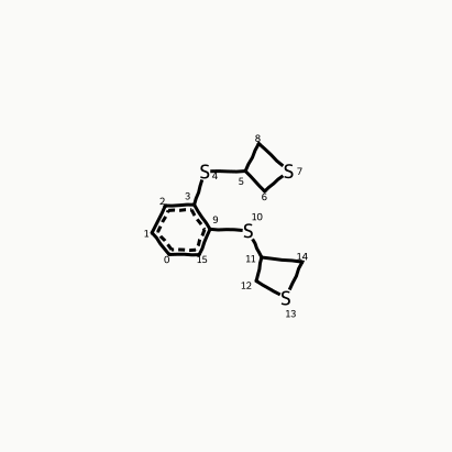 c1ccc(SC2CSC2)c(SC2CSC2)c1